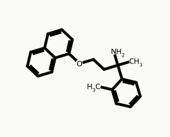 Cc1ccccc1C(C)(N)CCOc1cccc2ccccc12